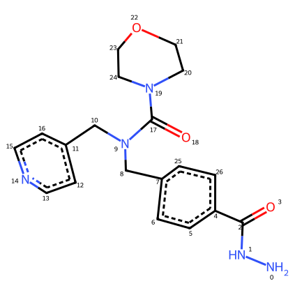 NNC(=O)c1ccc(CN(Cc2ccncc2)C(=O)N2CCOCC2)cc1